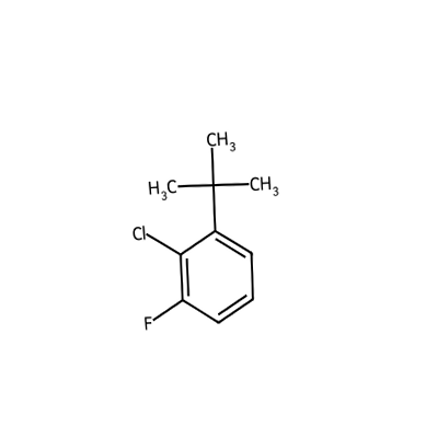 CC(C)(C)c1cccc(F)c1Cl